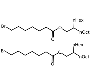 CCCCCCCCC(CCCCCC)COC(=O)CCCCCCBr.CCCCCCCCC(CCCCCC)COC(=O)CCCCCCBr